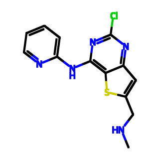 CNCc1cc2nc(Cl)nc(Nc3ccccn3)c2s1